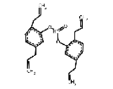 C=CCc1ccc(CC=C)c(O[PH](=O)Oc2cc(CC=C)ccc2CC=C)c1